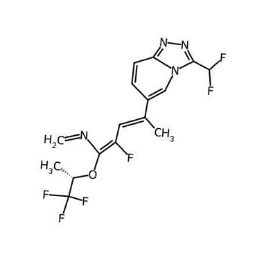 C=N/C(O[C@@H](C)C(F)(F)F)=C(F)\C=C(/C)c1ccc2nnc(C(F)F)n2c1